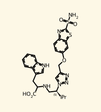 CC(C)[C@@H](CNC(Cc1c[nH]c2ccccc12)C(=O)O)n1cc(COc2ccc3nc(S(N)(=O)=O)sc3c2)nn1